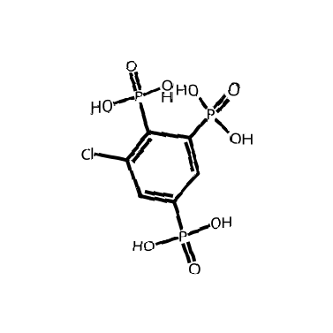 O=P(O)(O)c1cc(Cl)c(P(=O)(O)O)c(P(=O)(O)O)c1